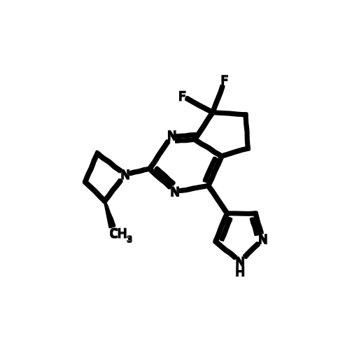 C[C@H]1CCN1c1nc(-c2cn[nH]c2)c2c(n1)C(F)(F)CC2